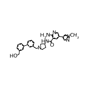 Cn1cc(-c2cnc(N)c(C(=O)NC3CCN(Cc4cccc(-c5cccc(CO)c5)c4)C3)c2)cn1